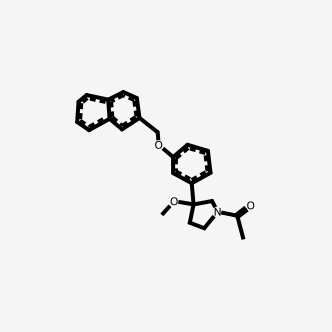 COC1(c2cccc(OCc3ccc4ccccc4c3)c2)CCN(C(C)=O)C1